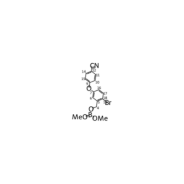 COB(OC)OCc1cc(Oc2ccc(C#N)cc2)ccc1Br